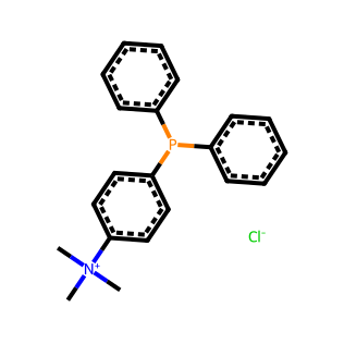 C[N+](C)(C)c1ccc(P(c2ccccc2)c2ccccc2)cc1.[Cl-]